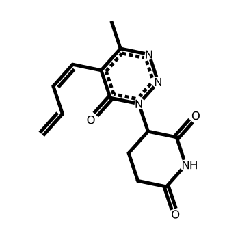 C=C/C=C\c1c(C)nnn(C2CCC(=O)NC2=O)c1=O